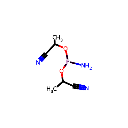 CC(C#N)OP(N)OC(C)C#N